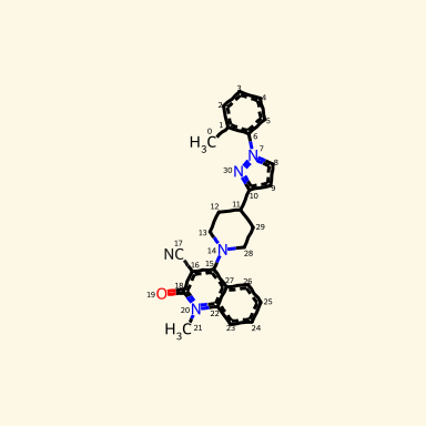 Cc1ccccc1-n1ccc(C2CCN(c3c(C#N)c(=O)n(C)c4ccccc34)CC2)n1